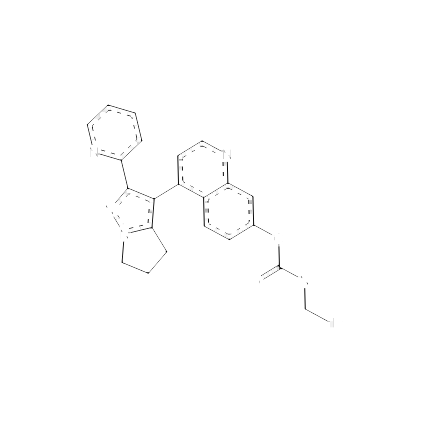 CC(C)CNC(=O)Oc1ccc2c(-c3c(-c4ccccn4)nn4c3CCC4)ccnc2c1